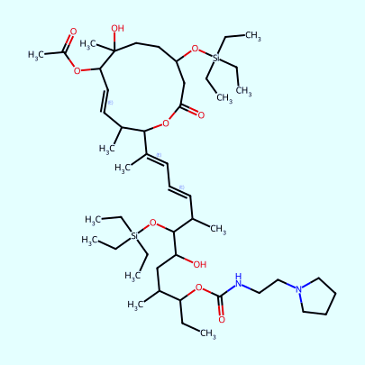 CCC(OC(=O)NCCN1CCCC1)C(C)CC(O)C(O[Si](CC)(CC)CC)C(C)/C=C/C=C(\C)C1OC(=O)CC(O[Si](CC)(CC)CC)CCC(C)(O)C(OC(C)=O)/C=C/C1C